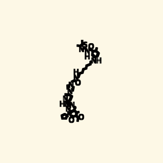 CC(=O)c1c(C)c2cnc(Nc3ccc(N4CCN(CC(=O)NCCCCCCCCNc5ccc(C)c(C(=O)Nc6nc(C)c(C)s6)c5)CC4)cn3)nc2n(C2CCCC2)c1=O